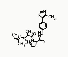 C/C=C(C)\N=C(/C)C(C)C(=O)N1CCCC1C(=O)NCc1ccc(-c2scnc2C)cc1